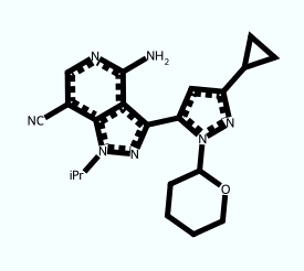 CC(C)n1nc(-c2cc(C3CC3)nn2C2CCCCO2)c2c(N)ncc(C#N)c21